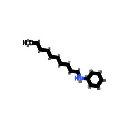 CCCCCCCCCCNC1CCCCC1